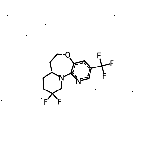 FC1(F)CCC2CCOc3cc(C(F)(F)F)cnc3N2C1